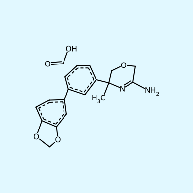 CC1(c2cccc(-c3ccc4c(c3)OCO4)c2)COCC(N)=N1.O=CO